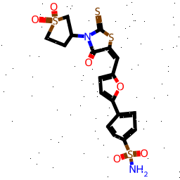 NS(=O)(=O)c1ccc(-c2ccc(/C=C3/SC(=S)N(C4CCS(=O)(=O)C4)C3=O)o2)cc1